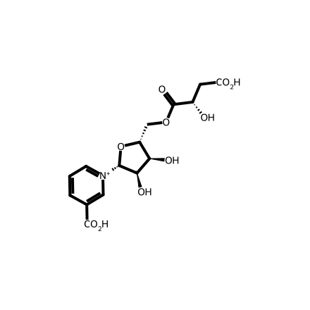 O=C(O)C[C@H](O)C(=O)OC[C@H]1O[C@@H]([n+]2cccc(C(=O)O)c2)[C@H](O)[C@@H]1O